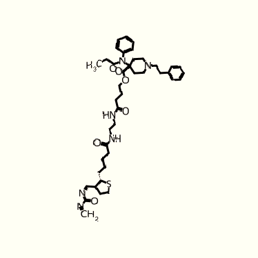 C=NC(=O)/N=C\C1CCS[C@H]1CCCCC(=O)NCCNC(=O)CCCOC(=O)C1(N(C(=O)CC)c2ccccc2)CCN(CCc2ccccc2)CC1